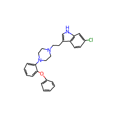 Clc1ccc2c(CCN3CCN(c4ccccc4Oc4ccccc4)CC3)c[nH]c2c1